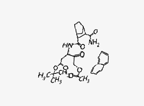 CC(=O)OCC(=O)C(CC(=O)OC(C)(C)C)NC(=O)C1C2CCC(C2)C1C(N)=O.c1ccc2ccccc2c1